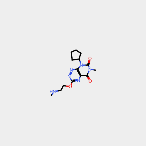 CNCCOc1nnc2c(n1)c(=O)n(C)c(=O)n2C1CCCC1